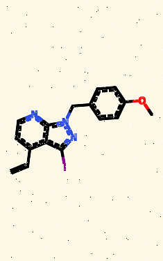 C=Cc1ccnc2c1c(I)nn2Cc1ccc(OC)cc1